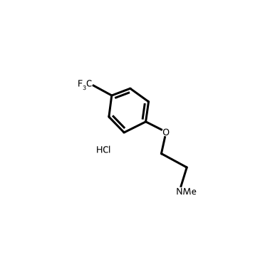 CNCCOc1ccc(C(F)(F)F)cc1.Cl